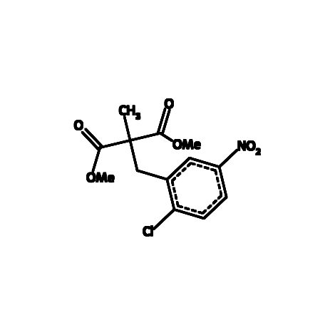 COC(=O)C(C)(Cc1cc([N+](=O)[O-])ccc1Cl)C(=O)OC